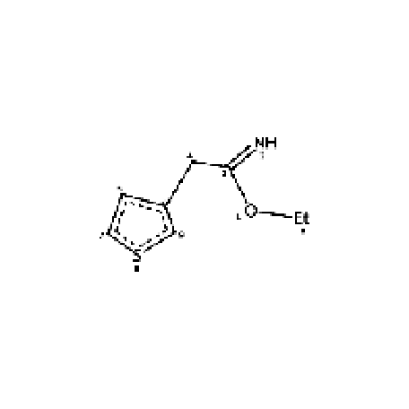 CCOC(=N)Cc1ccsc1